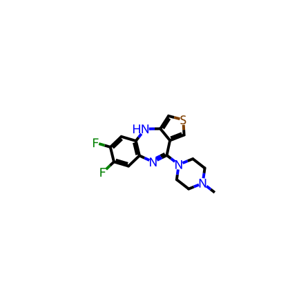 CN1CCN(C2=Nc3cc(F)c(F)cc3Nc3cscc32)CC1